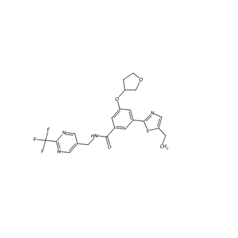 CCc1cnc(-c2cc(OC3CCOC3)cc(C(=O)NCc3cnc(C(F)(F)F)nc3)c2)s1